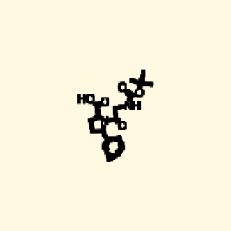 CC(C)(C)OC(=O)NCC(=O)N1C(C(=O)O)CCC1c1ccccc1